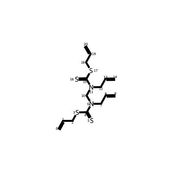 C=CCSC(=S)N(CC=C)CN(CC=C)C(=S)SCC=C